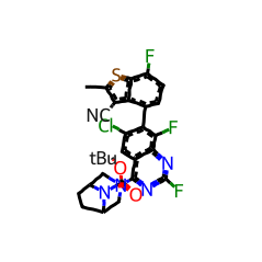 Cc1sc2c(F)ccc(-c3c(Cl)cc4c(N5CC6CCC(C5)N6C(=O)OC(C)(C)C)nc(F)nc4c3F)c2c1C#N